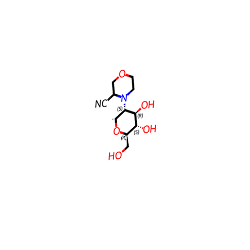 N#CC1COCCN1[C@H]1[CH]O[C@H](CO)[C@@H](O)[C@@H]1O